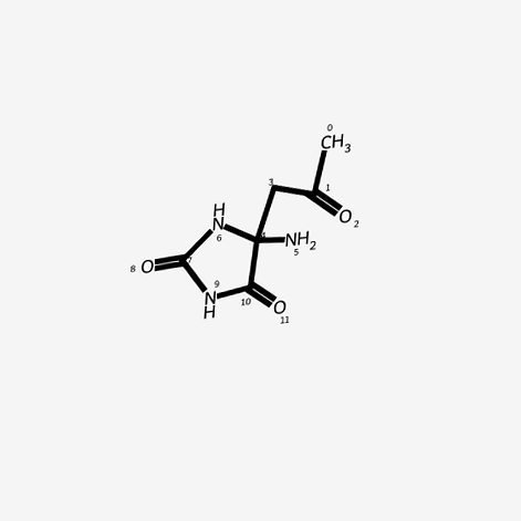 CC(=O)CC1(N)NC(=O)NC1=O